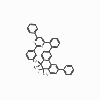 CC1(C)c2ccc(-c3ccccc3)cc2-c2cc(-c3ccccc3-c3nc(-c4ccccc4)nc(-c4ccccc4)n3)ccc2C1(C)C